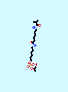 CC(C)OP(=O)(O)OCCCCCCNC(=O)CCCCCNC(=O)C(C)C